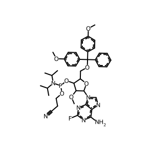 COc1ccc(C(OCC2OC(n3cnc4c(N)nc(F)nc43)C(OC)C2OP(OCCC#N)N(C(C)C)C(C)C)(c2ccccc2)c2ccc(OC)cc2)cc1